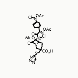 COC1(NC(=O)C(c2ccc(N(Cl)OC(C)=O)cc2)N(Cl)OC(C)=O)C(=O)N2CC(CSn3cnnn3)(C(=O)O)CS[C@@H]21